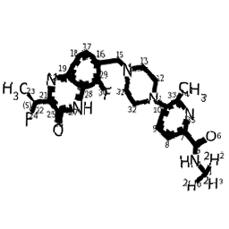 [2H]C([2H])([2H])NC(=O)c1ccc(N2CCN(Cc3ccc4nc([C@H](C)F)c(=O)[nH]c4c3F)CC2)c(C)n1